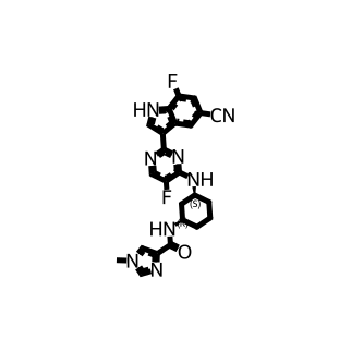 Cn1cnc(C(=O)N[C@@H]2CCC[C@H](Nc3nc(-c4c[nH]c5c(F)cc(C#N)cc45)ncc3F)C2)c1